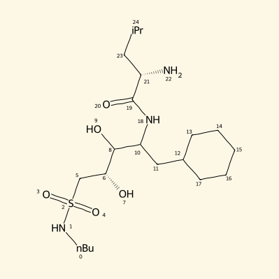 CCCCNS(=O)(=O)C[C@@H](O)C(O)C(CC1CCCCC1)NC(=O)[C@@H](N)CC(C)C